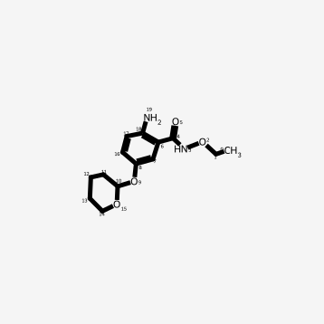 CCONC(=O)c1cc(OC2CCCCO2)ccc1N